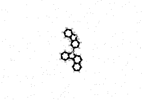 c1ccc2c(c1)ccc1c2c2ccccc2n1-c1ccc2sc3ccccc3c2c1